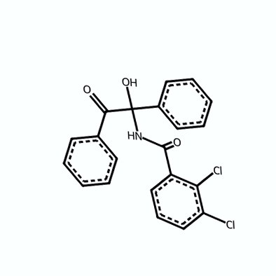 O=C(NC(O)(C(=O)c1ccccc1)c1ccccc1)c1cccc(Cl)c1Cl